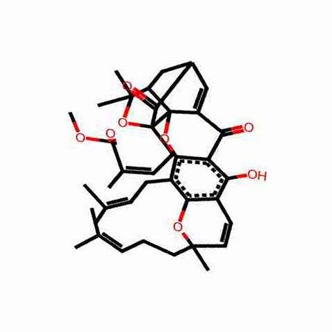 COC(=O)/C(C)=C\CC12OC(C)(C)C3CC(C=C4C(=O)c5c(O)c6c(c(CC=C(C)C)c5OC431)OC(C)(CCC=C(C)C)C=C6)C2=O